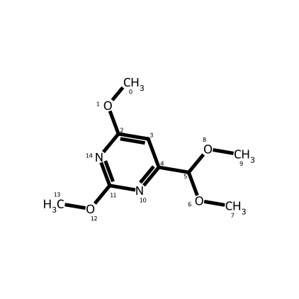 COc1cc(C(OC)OC)nc(OC)n1